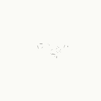 COc1cc2c(cc1OC)CN(Cc1cnc(N)n3nc(-c4cccs4)nc13)CC2